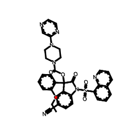 CCOc1ccccc1C1(OC(=O)N2CCN(c3cnccn3)CC2)C(=O)N(S(=O)(=O)c2cccc3cccnc23)c2ccc(C#N)cc21